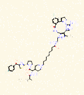 CN[C@H](C)C(=O)N[C@@H](C(=O)N1CCC[C@@H]1C1=NC(C(=O)c2ccc(F)cc2)CS1)C1CCN(CCCCCCCCC(=O)NCCn2nc(C#N)c3c2CN(C)C(=O)c2ccc(F)cc2[C@H]2CCCN2c2nc-3cnc2N)CC1